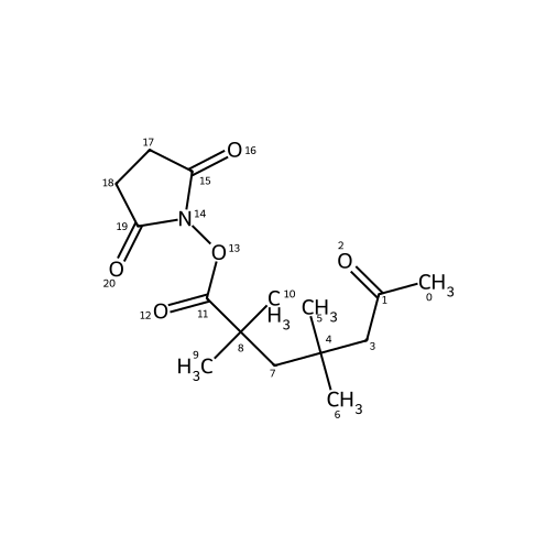 CC(=O)CC(C)(C)CC(C)(C)C(=O)ON1C(=O)CCC1=O